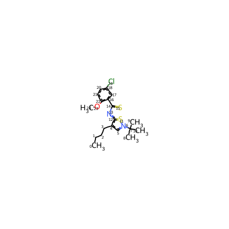 CCCCc1cn(C(C)(C)C)sc1=NC(=S)c1cc(Cl)ccc1OC